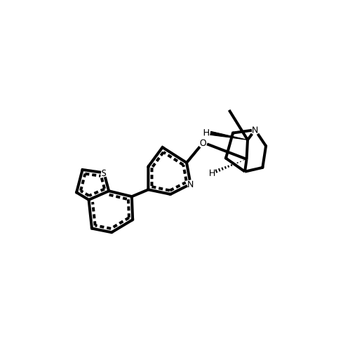 C[C@H]1[C@H](Oc2ccc(-c3cccc4ccsc34)cn2)C2CCN1CC2